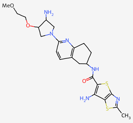 COCCOC1CN(c2ccc3c(n2)CCC(NC(=O)c2sc4nc(C)sc4c2N)C3)CC1N